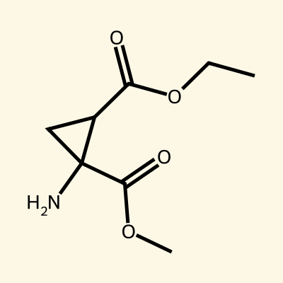 CCOC(=O)C1CC1(N)C(=O)OC